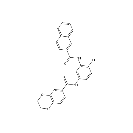 CCc1ccc(NC(=O)c2ccc3c(c2)OCCO3)cc1NC(=O)c1ccc2ncccc2c1